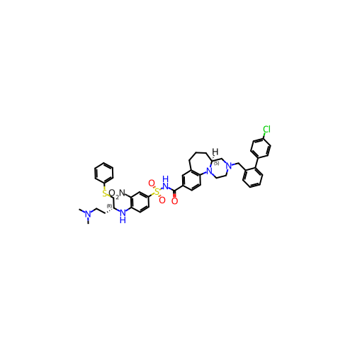 CN(C)CC[C@H](CSc1ccccc1)Nc1ccc(S(=O)(=O)NC(=O)c2ccc3c(c2)CCC[C@H]2CN(Cc4ccccc4-c4ccc(Cl)cc4)CCN32)cc1[N+](=O)[O-]